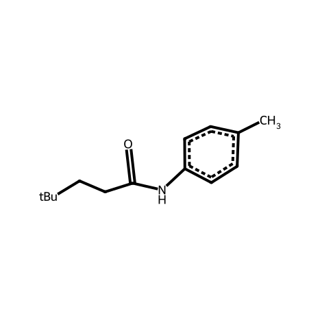 Cc1ccc(NC(=O)CCC(C)(C)C)cc1